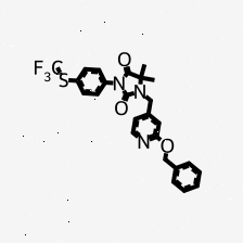 CC1(C)C(=O)N(c2ccc(SC(F)(F)F)cc2)C(=O)N1Cc1ccnc(OCc2ccccc2)c1